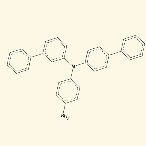 Bc1ccc(N(c2ccc(-c3ccccc3)cc2)c2cccc(-c3ccccc3)c2)cc1